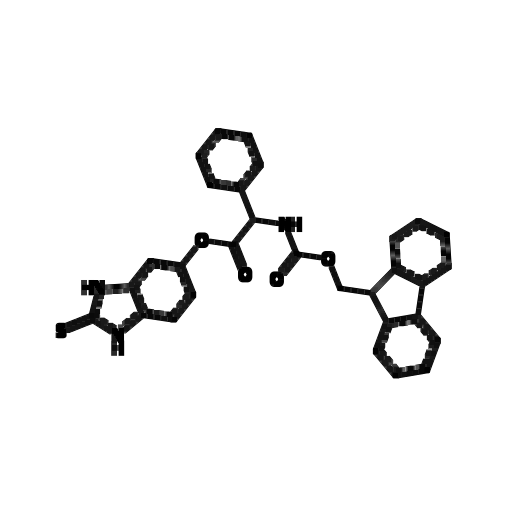 O=C(NC(C(=O)Oc1ccc2[nH]c(=S)[nH]c2c1)c1ccccc1)OCC1c2ccccc2-c2ccccc21